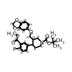 COC(=O)c1cc(C2CCN(C(=O)OC(C)(C)C)CC2COc2ccc3c(c2)OCO3)ccc1F